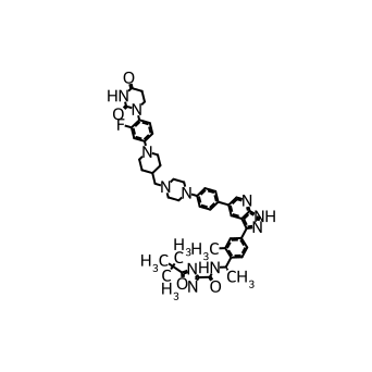 Cc1cc(-c2n[nH]c3ncc(-c4ccc(N5CCN(CC6CCN(c7ccc(N8CCC(=O)NC8=O)c(F)c7)CC6)CC5)cc4)cc23)ccc1[C@@H](C)NC(=O)c1noc(C(C)(C)C)n1